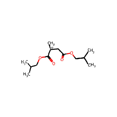 CC(C)COC(=O)C[C@H](C)C(=O)OCC(C)C